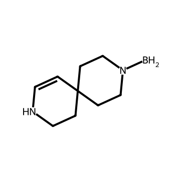 BN1CCC2(C=CNCC2)CC1